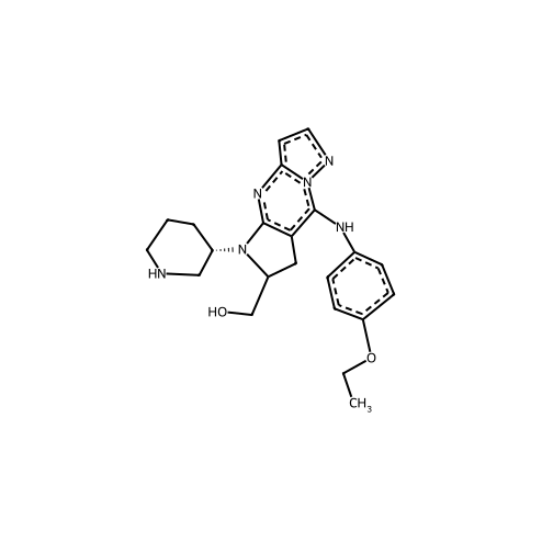 CCOc1ccc(Nc2c3c(nc4ccnn24)N([C@H]2CCCNC2)C(CO)C3)cc1